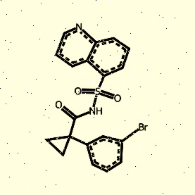 O=C(NS(=O)(=O)c1cccc2ncccc12)C1(c2cccc(Br)c2)CC1